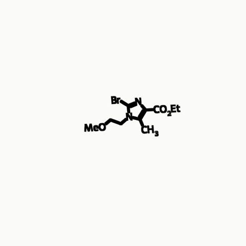 CCOC(=O)c1nc(Br)n(CCOC)c1C